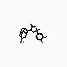 CC1(c2ccc(F)c(F)c2)CN(C2C3CC4CC2CC(O)(C4)C3)C(=O)N1